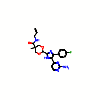 C=CCNC(=O)C1(C)COC(c2nc(-c3ccc(F)cc3)c(-c3ccnc(N)n3)[nH]2)OC1